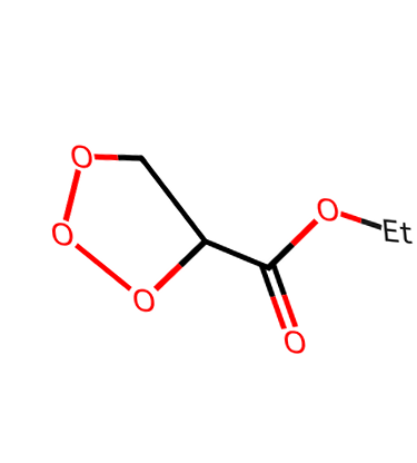 CCOC(=O)C1COOO1